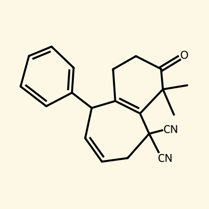 CC1(C)C(=O)CCC2=C1C(C#N)(C#N)CC=CC2c1ccccc1